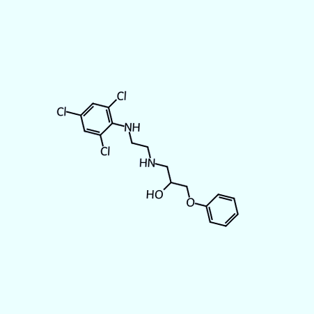 OC(CNCCNc1c(Cl)cc(Cl)cc1Cl)COc1ccccc1